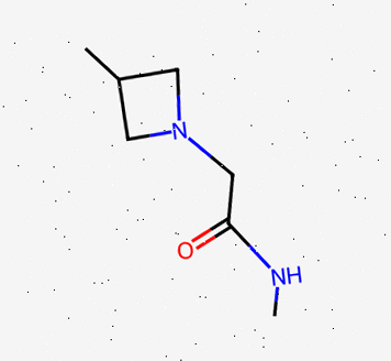 CNC(=O)CN1CC(C)C1